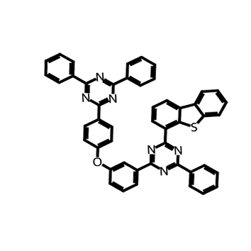 c1ccc(-c2nc(-c3ccccc3)nc(-c3ccc(Oc4cccc(-c5nc(-c6ccccc6)nc(-c6cccc7c6sc6ccccc67)n5)c4)cc3)n2)cc1